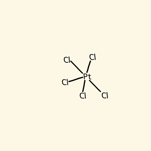 [Cl][Pt]([Cl])([Cl])([Cl])[Cl]